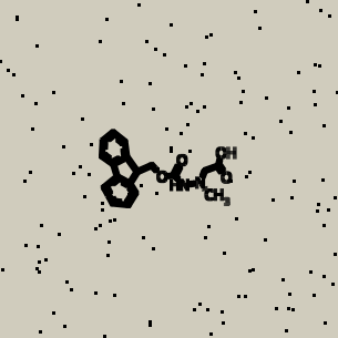 CN(CC(=O)O)NC(=O)OCC1c2ccccc2-c2ccccc21